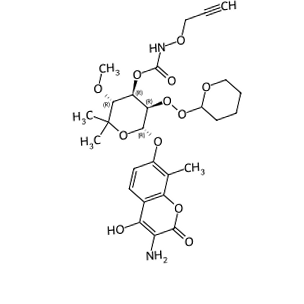 C#CCONC(=O)O[C@H]1[C@@H](OOC2CCCCO2)[C@H](Oc2ccc3c(O)c(N)c(=O)oc3c2C)OC(C)(C)[C@@H]1OC